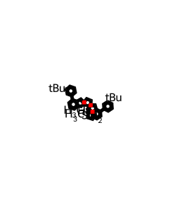 CC(C)(C)c1cccc(-c2cccc3c2C=C[CH]3[Hf]([CH3])([CH3])(=[SiH2])([CH]2CCCC2)([CH]2CCCC2)[CH]2C=Cc3c(-c4cccc(C(C)(C)C)c4)cccc32)c1